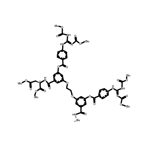 CC[C@@H](C)NC(=O)c1cc(OCCOc2cc(OC(=O)c3ccc(NC(=NC(=O)OC(C)(C)C)NC(=O)OC(C)(C)C)cc3)cc(C(=O)N[C@H](CC(=O)OC(C)(C)C)C(=O)OC(C)(C)C)c2)cc(OC(=O)c2ccc(NC(=NC(=O)OC(C)(C)C)NC(=O)OC(C)(C)C)cc2)c1